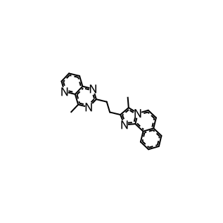 Cc1nc(CCc2nc3c4ccccc4ccn3c2C)nc2cccnc12